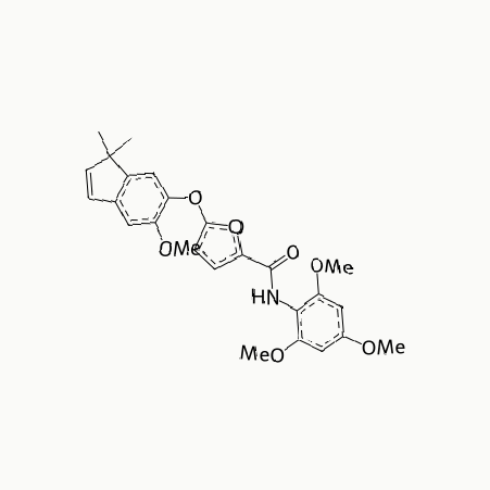 COc1cc(OC)c(NC(=O)c2ccc(Oc3cc4c(cc3OC)C=CC4(C)C)o2)c(OC)c1